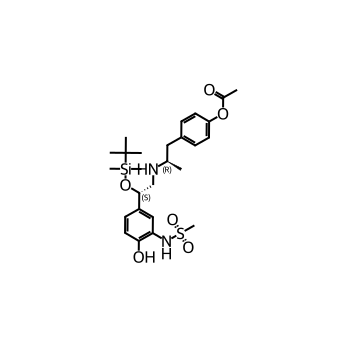 CC(=O)Oc1ccc(C[C@@H](C)NC[C@@H](O[Si](C)(C)C(C)(C)C)c2ccc(O)c(NS(C)(=O)=O)c2)cc1